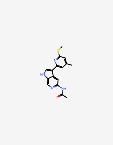 CSc1cc(C)cc(-c2c[nH]c3cnc(NC(C)=O)cc23)n1